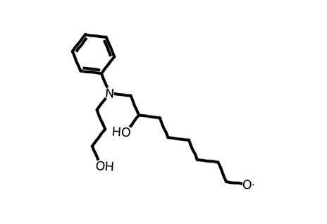 [O]CCCCCCC(O)CN(CCCO)c1ccccc1